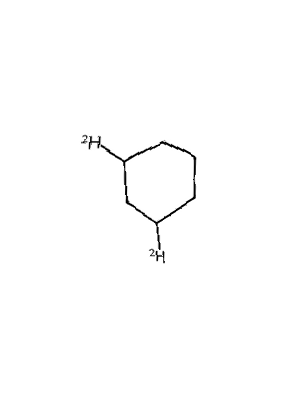 [2H]C1CCCC([2H])C1